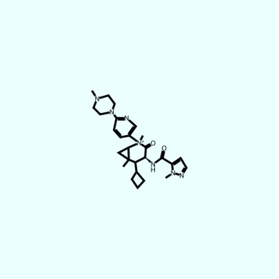 CN1CCN(c2ccc([N+]3(C)C(=O)[C@@H](NC(=O)c4ccnn4C)C(C4CCC4)C4(C)CC43)cn2)CC1